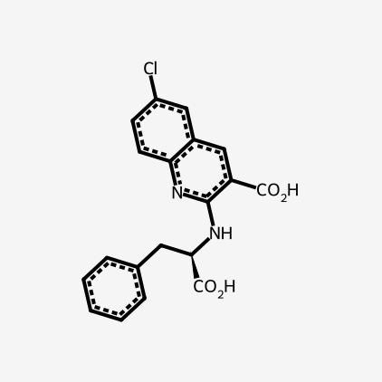 O=C(O)c1cc2cc(Cl)ccc2nc1N[C@H](Cc1ccccc1)C(=O)O